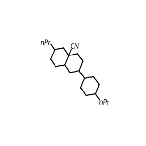 CCCC1CCC(C2CCC3(C#N)CC(CCC)CCC3C2)CC1